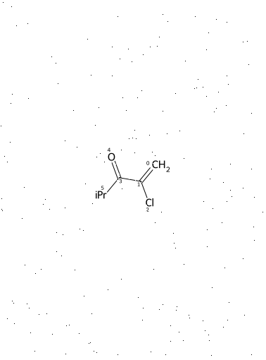 C=C(Cl)C(=O)C(C)C